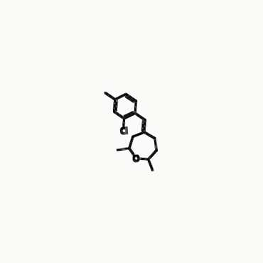 Cc1ccc(/C=C2/CCC(C)OC(C)C2)c(Cl)c1